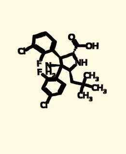 CC(C)(C)C[C@@H]1N[C@@H](C(=O)O)[C@H](c2cccc(Cl)c2F)[C@@]1(N)c1ccc(Cl)cc1F